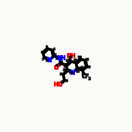 O=C(Nc1ccccn1)c1c(CCO)nc2c(C(F)(F)F)cccc2c1O